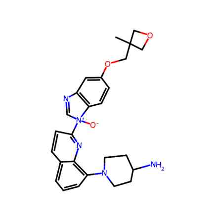 CC1(COc2ccc3c(c2)N=C[N+]3([O-])c2ccc3cccc(N4CCC(N)CC4)c3n2)COC1